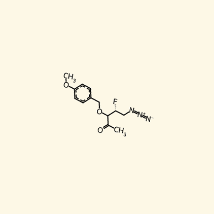 COc1ccc(COC(C(C)=O)[C@H](F)CN=[N+]=[N-])cc1